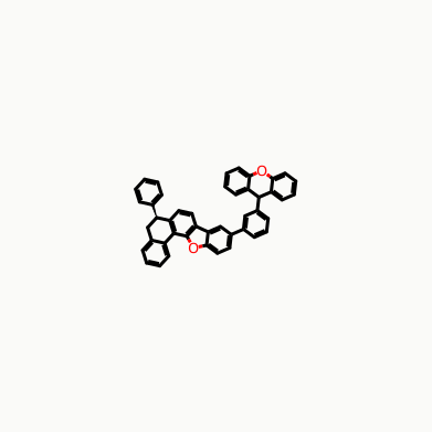 c1ccc([C@@H]2Cc3ccccc3-c3c2ccc2c3oc3ccc(-c4cccc(C5c6ccccc6Oc6ccccc65)c4)cc32)cc1